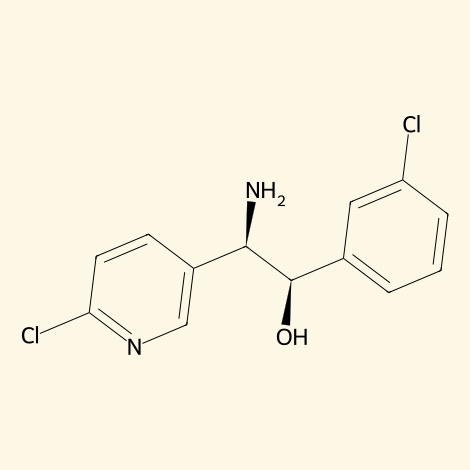 N[C@H](c1ccc(Cl)nc1)[C@H](O)c1cccc(Cl)c1